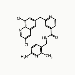 Cc1nc(N)ccc1CNC(=O)c1ccnc(Cc2cc(Cl)c3ncc(Cl)cc3c2)c1